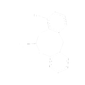 O=C(O)C1Oc2ccccc2Cc2cccc(Br)c2O1